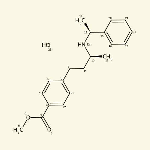 COC(=O)c1ccc(CC[C@H](C)N[C@@H](C)c2ccccc2)cc1.Cl